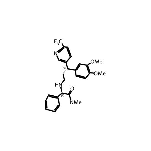 CNC(=O)[C@H](NCC[C@H](c1ccc(C(F)(F)F)nc1)c1ccc(OC)c(OC)c1)c1ccccc1